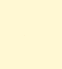 [O]C(=O)c1[c]cccc1